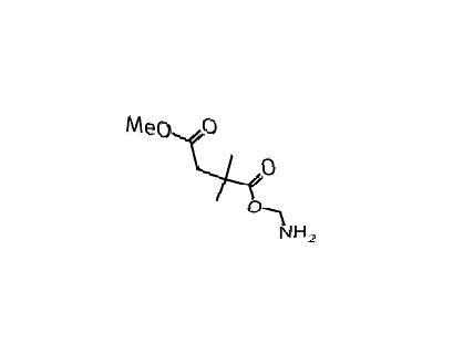 COC(=O)CC(C)(C)C(=O)OCN